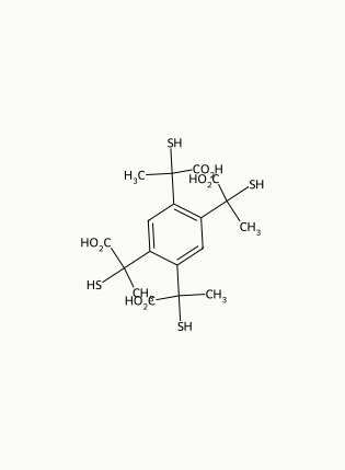 CC(S)(C(=O)O)c1cc(C(C)(S)C(=O)O)c(C(C)(S)C(=O)O)cc1C(C)(S)C(=O)O